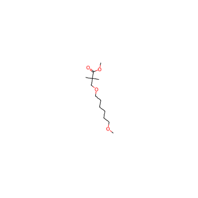 COCCCCCCOCC(C)(C)C(=O)OC